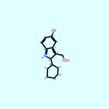 OCC1=c2cc(Br)ccc2=NC1C1CCCCC1